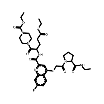 CCNC(=O)C1CCCN1C(=O)COc1cc(C(=O)NC(CCC(=O)OCC)C(=O)N2CCN(C(=O)OCC)CC2)nc2cc(F)ccc12